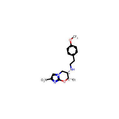 CC[C@@H]1Oc2nc([N+](=O)[O-])cn2C[C@@H]1NCCc1ccc(OC(F)(F)F)cc1